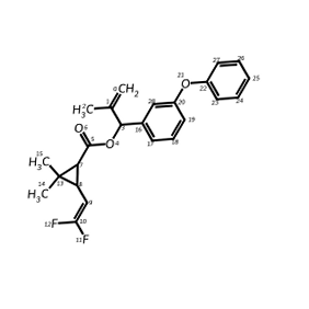 C=C(C)C(OC(=O)C1C(C=C(F)F)C1(C)C)c1cccc(Oc2ccccc2)c1